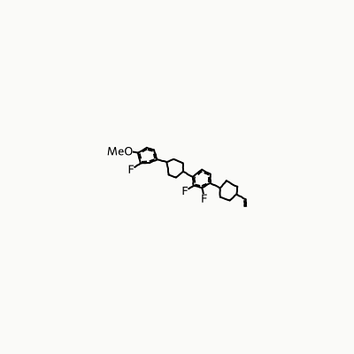 C=CC1CCC(c2ccc(C3CCC(c4ccc(OC)c(F)c4)CC3)c(F)c2F)CC1